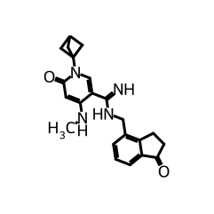 CNc1cc(=O)n(C23CC(C2)C3)cc1C(=N)NCc1cccc2c1CCC2=O